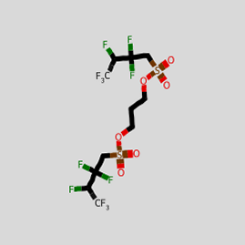 O=S(=O)(CC(F)(F)C(F)C(F)(F)F)OCCCOS(=O)(=O)CC(F)(F)C(F)C(F)(F)F